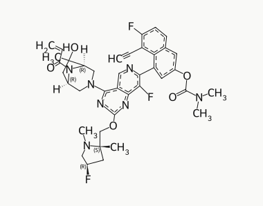 C#Cc1c(F)ccc2cc(OC(=O)N(C)C)cc(-c3ncc4c(N5C[C@H]6CC(C)(O)[C@@H](C5)N6C(=O)C=C)nc(OC[C@]5(C)C[C@@H](F)CN5C)nc4c3F)c12